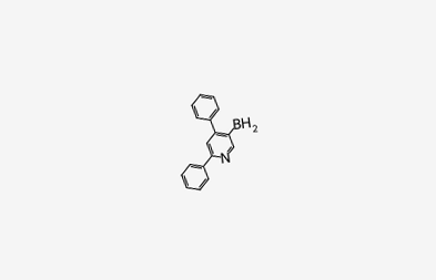 Bc1cnc(-c2ccccc2)cc1-c1ccccc1